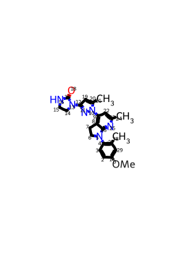 COc1ccc(N2CCc3c(-n4nc(N5CCNC5=O)cc4C)cc(C)nc32)c(C)c1